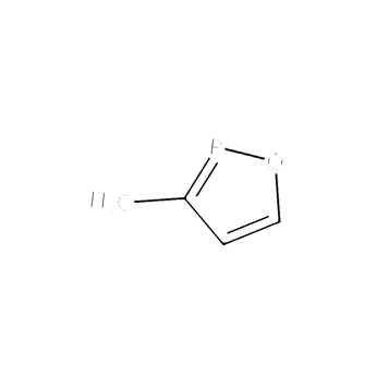 Cc1ccop1